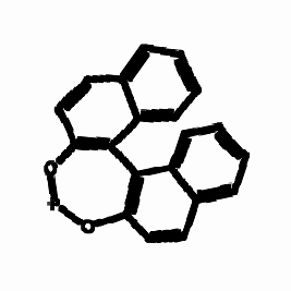 c1ccc2c3c(ccc2c1)O[P]Oc1ccc2ccccc2c1-3